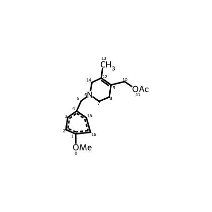 COc1ccc(CN2CCC(COC(C)=O)=C(C)C2)cc1